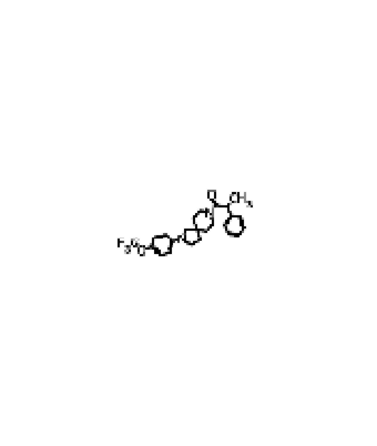 CC(C(=O)N1CCC2(CC1)CCN(c1ccc(OC(F)(F)F)cc1)C2)c1ccccc1